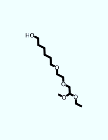 CCOC(COCCOCCCCCCO)OC